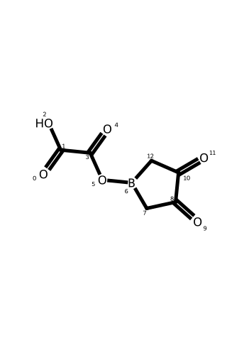 O=C(O)C(=O)OB1CC(=O)C(=O)C1